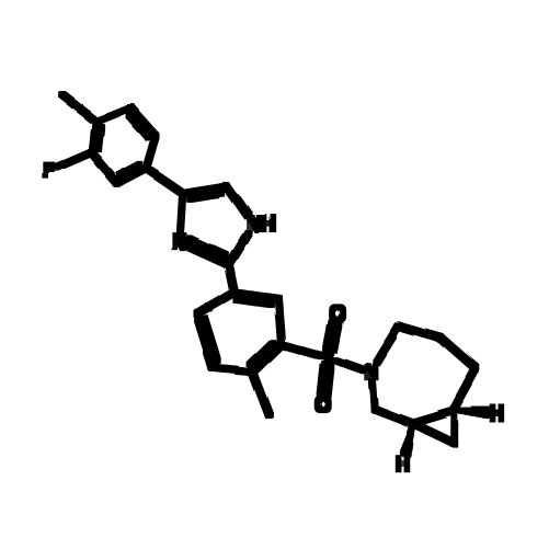 Cc1ccc(-c2c[nH]c(-c3ccc(C)c(S(=O)(=O)N4CCC[C@@H]5C[C@@H]5C4)c3)n2)cc1F